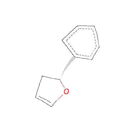 C1=CO[C@@H](c2ccccc2)C1